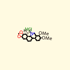 COc1ccc2c(c[n+](C)c3c4cc5c(cc4ccc23)OCO5)c1OC.Cl